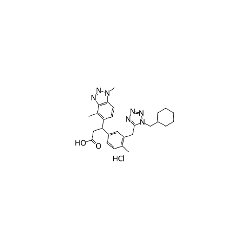 Cc1ccc(C(CC(=O)O)c2ccc3c(nnn3C)c2C)cc1Cc1nnnn1CC1CCCCC1.Cl